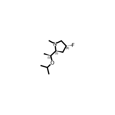 CC(C)O[C@@H](C)[C@@H]1C[C@@H](F)CN1C